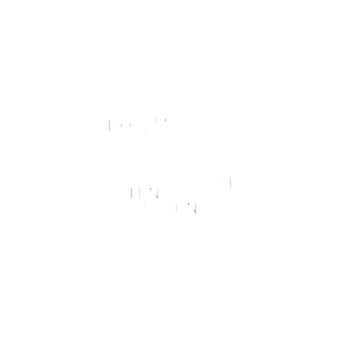 Nc1c(CC(=O)O)cccc1Nc1ccccc1Cl